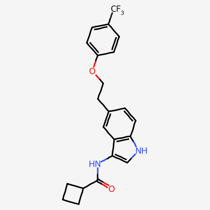 O=C(Nc1c[nH]c2ccc(CCOc3ccc(C(F)(F)F)cc3)cc12)C1CCC1